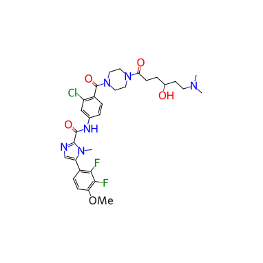 COc1ccc(-c2cnc(C(=O)Nc3ccc(C(=O)N4CCN(C(=O)CCC(O)CCN(C)C)CC4)c(Cl)c3)n2C)c(F)c1F